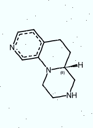 c1cc2c(cn1)N1CCNC[C@H]1CC2